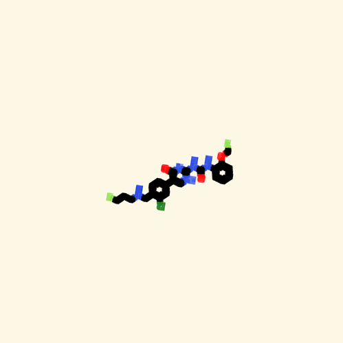 O=C(Nc1nc(=O)c(-c2ccc(CNCCCF)c(Cl)c2)c[nH]1)Nc1ccccc1OCF